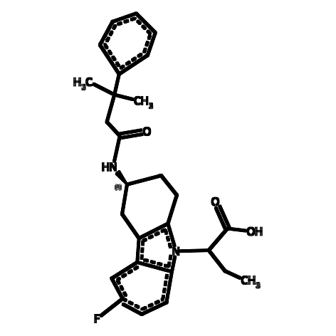 CCC(C(=O)O)n1c2c(c3cc(F)ccc31)C[C@@H](NC(=O)CC(C)(C)c1ccccc1)CC2